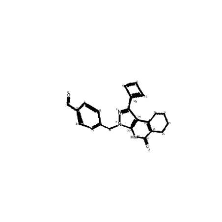 O=Cc1ccc(Cn2nc(C3=CC=C3)c3c4c(c(=O)[nH]c32)CCCC4)cc1